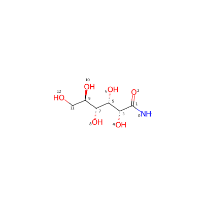 [NH]C(=O)[C@H](O)[C@@H](O)[C@H](O)[C@H](O)CO